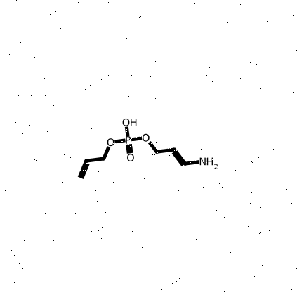 C=CCOP(=O)(O)OCC=CN